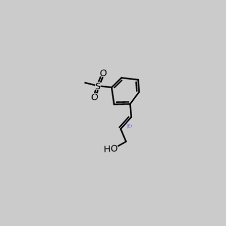 CS(=O)(=O)c1cccc(/C=C/CO)c1